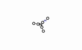 C(=C\c1ccc(N(c2ccc(-c3ccccc3)cc2)c2ccc(-c3ccccc3)cc2)cc1)/c1ccccc1